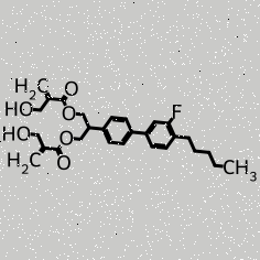 C=C(CO)C(=O)OCC(COC(=O)C(=C)CO)c1ccc(-c2ccc(CCCCC)c(F)c2)cc1